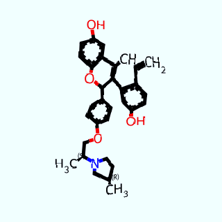 C=Cc1ccc(O)cc1C1=C(C)c2cc(O)ccc2OC1c1ccc(OC[C@H](C)N2CC[C@@H](C)C2)cc1